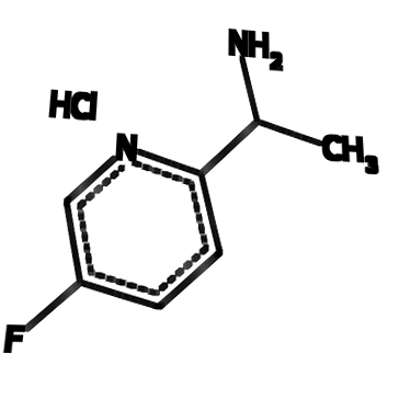 CC(N)c1ccc(F)cn1.Cl